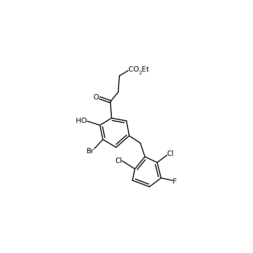 CCOC(=O)CCC(=O)c1cc(Cc2c(Cl)ccc(F)c2Cl)cc(Br)c1O